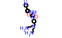 NCCCN(CCCN)CC1CCC(n2cc3c(nc2=O)Nc2cc(C4CCNCC4)ccc2O3)CC1